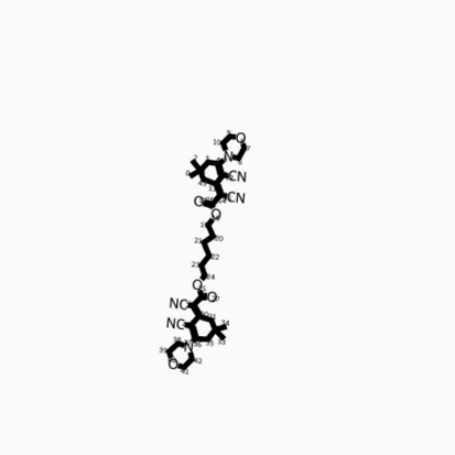 CC1(C)CC(N2CCOCC2)=C(C#N)/C(=C(\C#N)C(=O)OCCCCCCOC(=O)/C(C#N)=C2\CC(C)(C)CC(N3CCOCC3)=C2C#N)C1